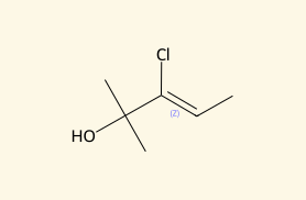 C/C=C(\Cl)C(C)(C)O